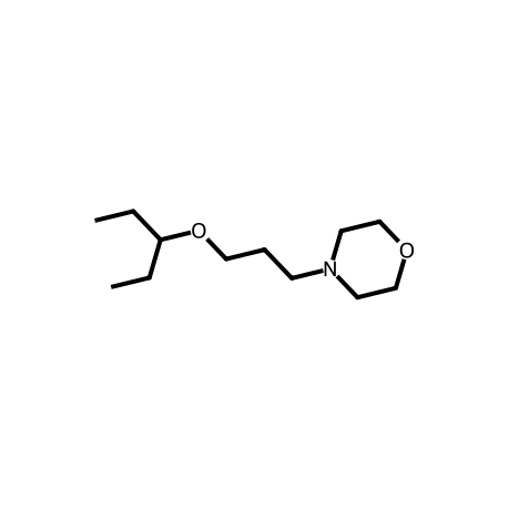 CCC(CC)OCCCN1CCOCC1